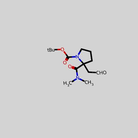 CN(C)C(=O)C1(CC=O)CCCN1C(=O)OC(C)(C)C